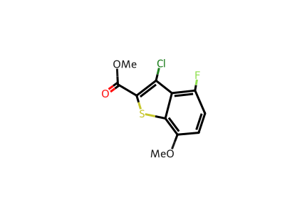 COC(=O)c1sc2c(OC)ccc(F)c2c1Cl